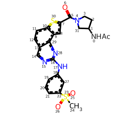 CC(=O)NC1CCN(C(=O)c2cc3c(ccc4cnc(Nc5cccc(S(C)(=O)=O)c5)nc43)s2)C1